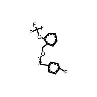 Fc1ccc(/[C]=N\OCc2ccccc2OC(F)(F)F)cc1